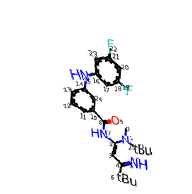 CN(/C(=C\C(=N)C(C)(C)C)NC(=O)c1cccc(Nc2cc(F)cc(F)c2)c1)C(C)(C)C